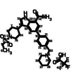 CCS(=O)(=O)N1CCC(c2c[nH]c3c(C(N)=O)cc(-c4ccc(CN5CCCCC5)cc4)cc23)CC1.O=C(O)C(F)(F)F